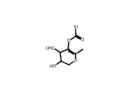 CCC(=O)OC1=C(C)OCC(O)C1C=O